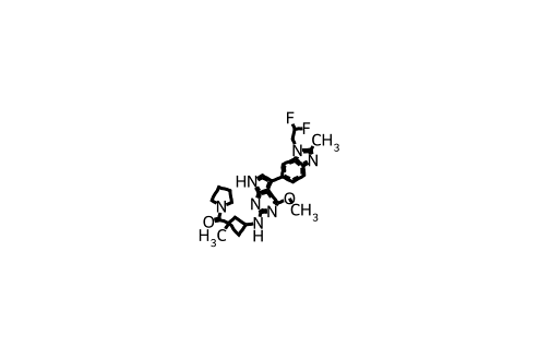 COc1nc(NC2CC(C)(C(=O)N3CCCC3)C2)nc2[nH]cc(-c3ccc4nc(C)n(CC(F)F)c4c3)c12